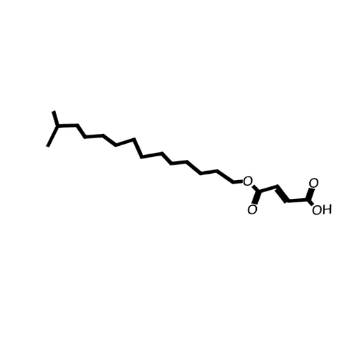 CC(C)CCCCCCCCCCCCOC(=O)C=CC(=O)O